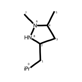 CC(C)CC1CC(C)N(C)N1